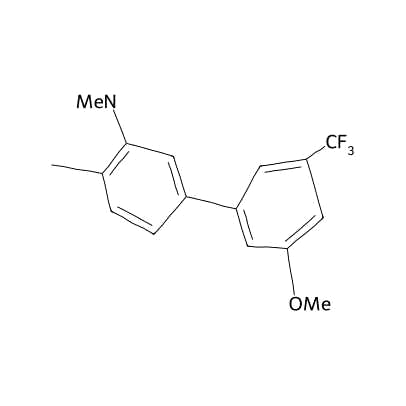 CNc1cc(-c2cc(OC)cc(C(F)(F)F)c2)ccc1C